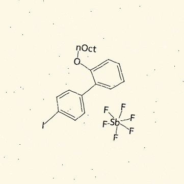 CCCCCCCCOc1ccccc1-c1ccc(I)cc1.[F][Sb-]([F])([F])([F])([F])[F]